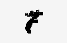 NC(=O)Nc1cc(Cl)c(O)cc1OC[C@@H](O)CN1CCC2(CC1)Cc1cc(Cl)ccc1O2